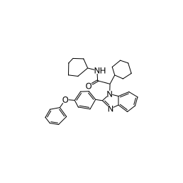 O=C(NC1CCCCC1)C(C1CCCCC1)n1c(-c2ccc(Oc3ccccc3)cc2)nc2ccccc21